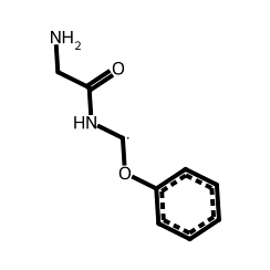 NCC(=O)N[CH]Oc1ccccc1